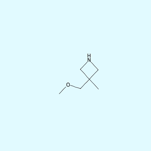 COCC1(C)CNC1